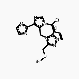 C=C/C=C(\CC)n1cnc(-c2ncco2)c1Cn1c(Cl)nnc1COC(C)C